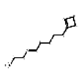 NCCSCCCCCC1=CCC1